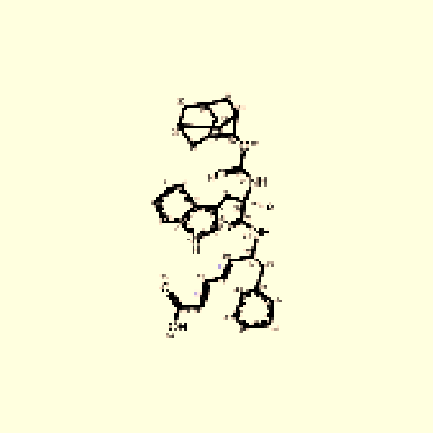 C[C@](Cc1c[nH]c2ccccc12)(NC(=O)OC1C2CC3CC(C2)CC1C3)C(=O)N[C@H](/C=C/C=C/C(=O)O)Cc1ccccc1